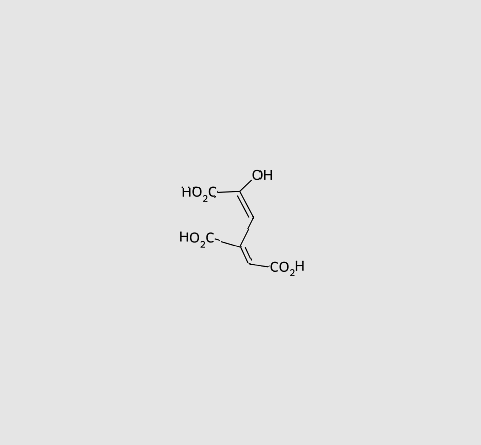 O=C(O)/C=C(\C=C(\O)C(=O)O)C(=O)O